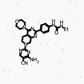 CCNC(=O)Nc1ccc(-c2nc3c(c(N4CCOCC4)n2)CCN(c2ncc(C#N)c(N)n2)C3)cc1